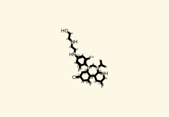 CC(C)N1CN(c2c(F)cc(NCCNCCO)cc2F)C2CC(Cl)CC(F)C2C2CC(F)CNC21